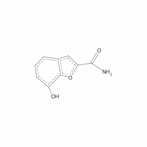 NC(=O)c1cc2cccc(O)c2o1